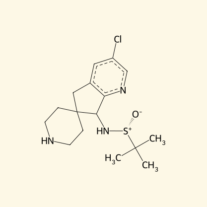 CC(C)(C)[S@@+]([O-])NC1c2ncc(Cl)cc2CC12CCNCC2